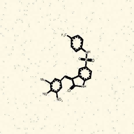 CC(C)(C)c1cc(C=C2C(=O)Nc3ccc(S(=O)(=O)Nc4ccc(C(F)(F)F)cc4)cc32)cc([N+](=O)[O-])c1O